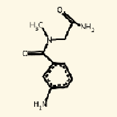 CN(CC(N)=O)C(=O)c1cccc(N)c1